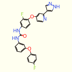 O=C(Nc1cccc(Oc2ccc(F)cc2)c1)Nc1ccc(Oc2ccnc(-c3cn[nH]c3)c2)c(F)c1